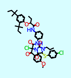 CCCN1C(=O)N(C(Cl)(C(=O)Nc2cccc(NC(=O)C(CC)Oc3ccc(C(C)(C)CC)cc3C(C)(C)CC)c2)C(=O)c2ccc(OC)cc2)C(=O)C1Sc1ccc(Cl)cc1